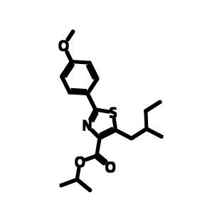 CCC(C)Cc1sc(-c2ccc(OC)cc2)nc1C(=O)OC(C)C